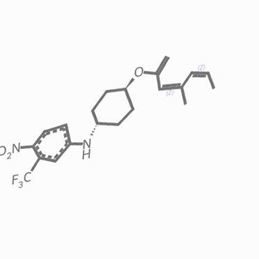 C=C(/C=C(C)\C=C/C)O[C@H]1CC[C@H](Nc2ccc([N+](=O)[O-])c(C(F)(F)F)c2)CC1